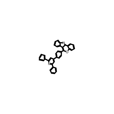 c1ccc(-c2cc(-c3ccc(-c4oc5ccccc5c5nc6ccccc6c4-5)cc3)cc(-c3ccccc3)n2)cc1